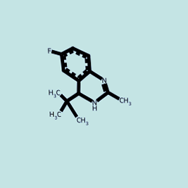 CC1=Nc2ccc(F)cc2C(C(C)(C)C)N1